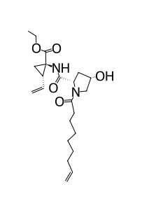 C=CCCCCCCC(=O)N1C[C@@H](O)C[C@H]1C(=O)N[C@]1(C(=O)OCC)C[C@H]1C=C